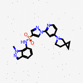 Cn1ncc2cccc(NS(=O)(=O)c3cnn(-c4cc(N5CCC6(CC6)C5)ccn4)c3)c21